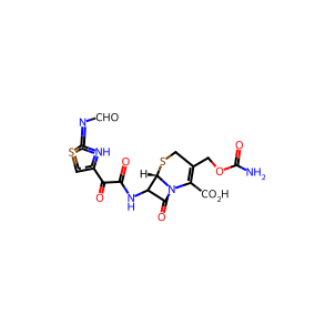 NC(=O)OCC1=C(C(=O)O)N2C(=O)C(NC(=O)C(=O)c3csc(=NC=O)[nH]3)[C@@H]2SC1